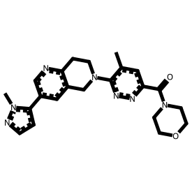 Cc1cc(C(=O)N2CCOCC2)nnc1N1CCc2ncc(-c3ccnn3C)cc2C1